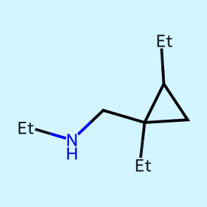 CCNCC1(CC)CC1CC